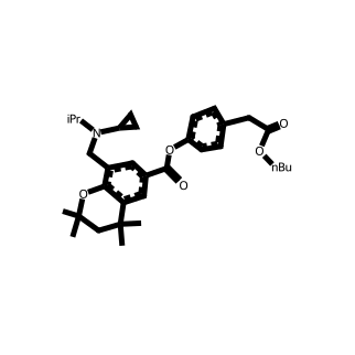 CCCCOC(=O)Cc1ccc(OC(=O)c2cc(CN(C(C)C)C3CC3)c3c(c2)C(C)(C)CC(C)(C)O3)cc1